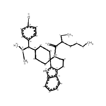 CCCCC(CC)C(=O)N1CCc2c([nH]c3ccccc23)C12CCC(C(c1ccc(Cl)cc1)N(C)C)CC2